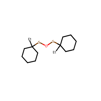 CCC1(SOSC2(CC)CCCCC2)CCCCC1